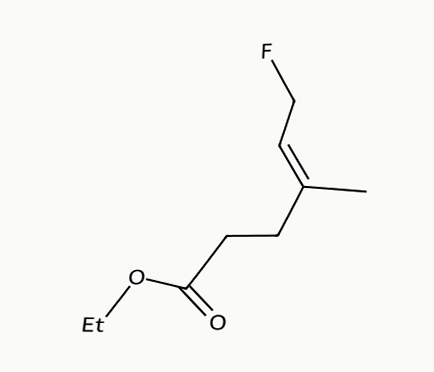 CCOC(=O)CCC(C)=CCF